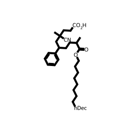 CCCCCCCCCCCCCCCCCCOC(=O)C(C)CCC(CC(C)(C#N)CCC(=O)O)c1ccccc1